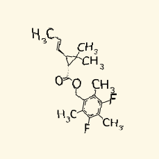 CC=C[C@@H]1[C@@H](C(=O)OCc2c(C)c(F)c(C)c(F)c2C)C1(C)C